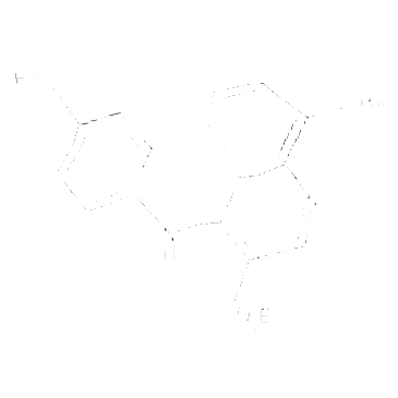 CCOC(=O)c1cnc2c(OC)cccc2c1Nc1ccc(C)cc1